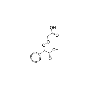 O=C(O)COOC(C(=O)O)c1ccccc1